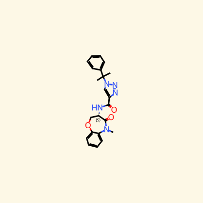 CN1C(=O)[C@@H](NC(=O)c2cn(C(C)(C)c3ccccc3)nn2)COc2ccccc21